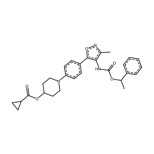 Cc1noc(-c2ccc(N3CCC(OC(=O)C4CC4)CC3)cc2)c1NC(=O)OC(C)c1ccccc1